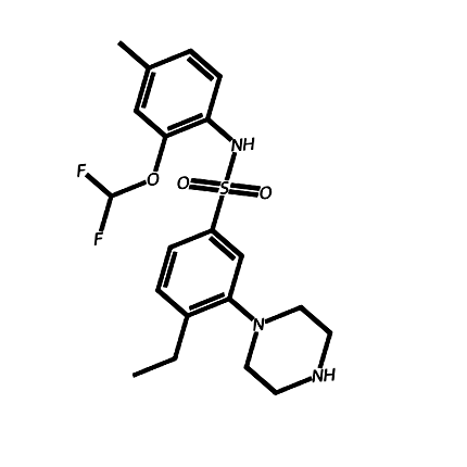 CCc1ccc(S(=O)(=O)Nc2ccc(C)cc2OC(F)F)cc1N1CCNCC1